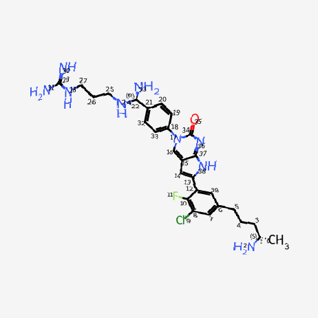 C[C@H](N)CCCc1cc(Cl)c(F)c(-c2cc3cn(-c4ccc([C@H](N)NCCCNC(=N)N)cc4)c(=O)nc3[nH]2)c1